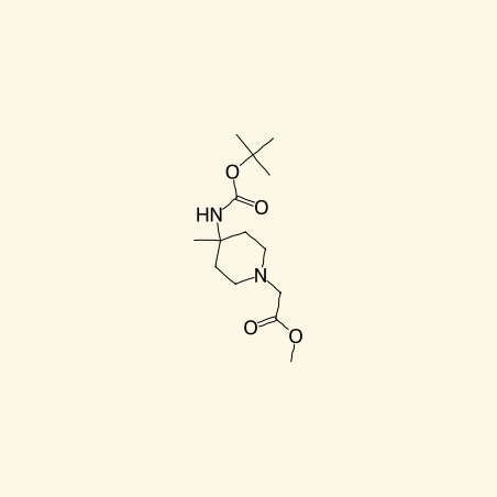 COC(=O)CN1CCC(C)(NC(=O)OC(C)(C)C)CC1